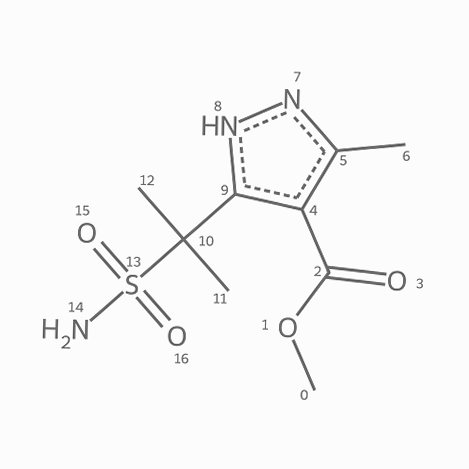 COC(=O)c1c(C)n[nH]c1C(C)(C)S(N)(=O)=O